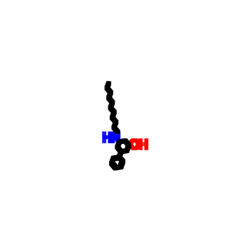 CCCCCCCCCCCNC1CC(O)CC(c2ccccc2)C1